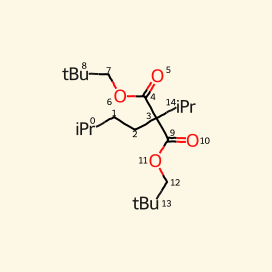 CC(C)CCC(C(=O)OCC(C)(C)C)(C(=O)OCC(C)(C)C)C(C)C